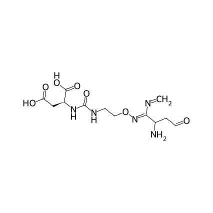 C=N/C(=N\OCCNC(=O)N[C@@H](CC(=O)O)C(=O)O)C(N)CC=O